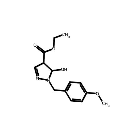 CCOC(=O)C1C=NN(Cc2ccc(OC)cc2)C1O